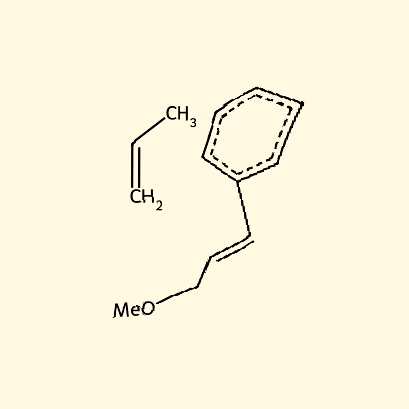 C=CC.COC/C=C/c1ccccc1